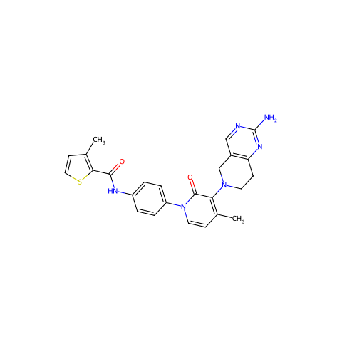 Cc1ccsc1C(=O)Nc1ccc(-n2ccc(C)c(N3CCc4nc(N)ncc4C3)c2=O)cc1